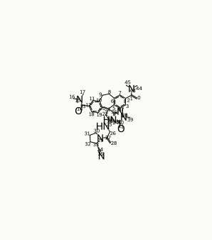 C=C(c1ccc2c(c1)CCc1cc(C(=O)N(C)C)ccc1C2(C[C@@H](C)NCC(=C)N1CCCC1C#N)c1nn(C)c(=O)[nH]1)N(C)C